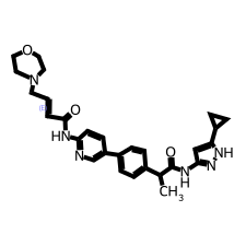 CC(C(=O)Nc1cc(C2CC2)[nH]n1)c1ccc(-c2ccc(NC(=O)/C=C/CN3CCOCC3)nc2)cc1